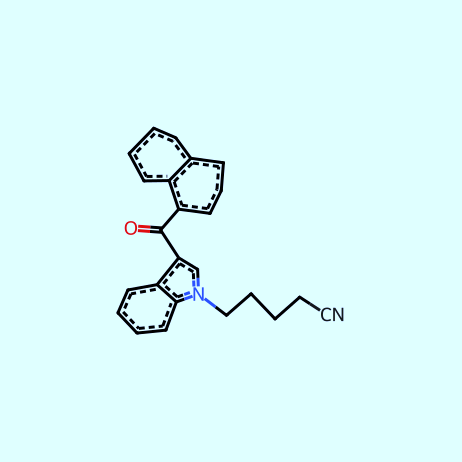 N#CCCCCn1cc(C(=O)c2cccc3ccccc23)c2ccccc21